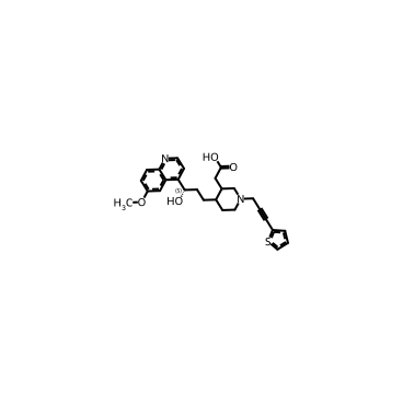 COc1ccc2nccc([C@@H](O)CCC3CCN(CC#Cc4cccs4)CC3CC(=O)O)c2c1